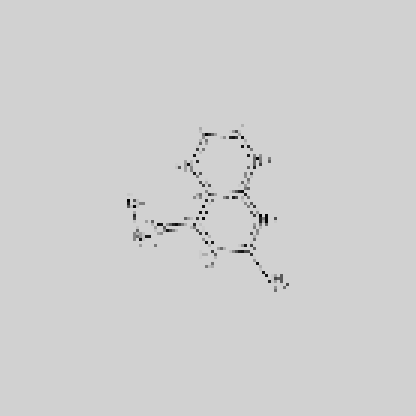 NO.Nc1nc2nccnc2c(=O)[nH]1